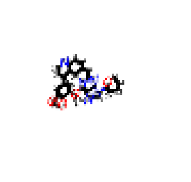 CC(C)Oc1nc(Cc2ccc3nccc(-c4ccc5c(c4)OCO5)c3c2)nc2c1ncn2C1CCCCO1